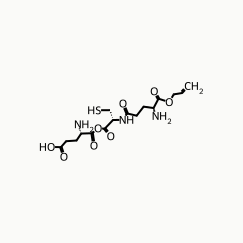 C=CCOC(=O)[C@@H](N)CCC(=O)N[C@@H](CS)C(=O)OC(=O)[C@@H](N)CCC(=O)O